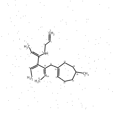 C=CCNC(=C\C)/C(=C/C)C(/CC1=CCCC(C)CC1)=N\C